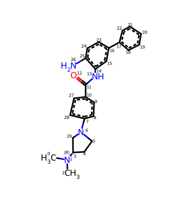 CN(C)[C@@H]1CCN(c2ccc(C(=O)Nc3cc(-c4ccccc4)ccc3N)cc2)C1